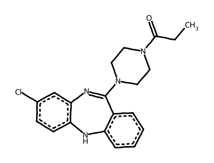 CCC(=O)N1CCN(C2=Nc3cc(Cl)ccc3Nc3ccccc32)CC1